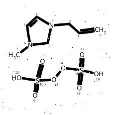 C=CCN1C=CN(C)C1.O=S(=O)(O)OOS(=O)(=O)O